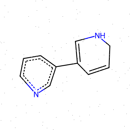 C1=CC(c2cccnc2)=CNC1